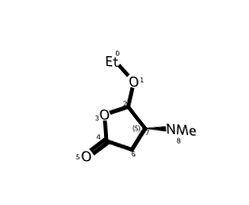 CCOC1OC(=O)C[C@@H]1NC